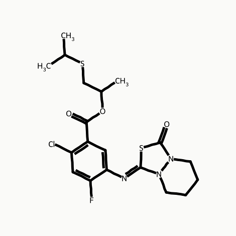 CC(CSC(C)C)OC(=O)c1cc(N=c2sc(=O)n3n2CCCC3)c(F)cc1Cl